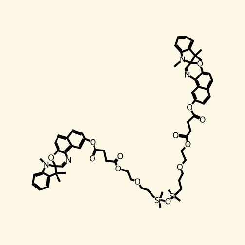 CN1c2ccccc2C(C)(C)C12C=Nc1c(ccc3ccc(OC(=O)CCC(=O)OCCOCCC[Si](C)(C)O[Si](C)(C)CCCOCCOC(=O)CCC(=O)Oc4ccc5ccc6c(c5c4)N=CC4(O6)N(C)c5ccccc5C4(C)C)cc13)O2